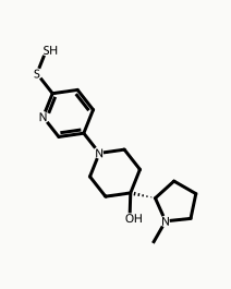 CN1CCC[C@H]1C1(O)CCN(c2ccc(SS)nc2)CC1